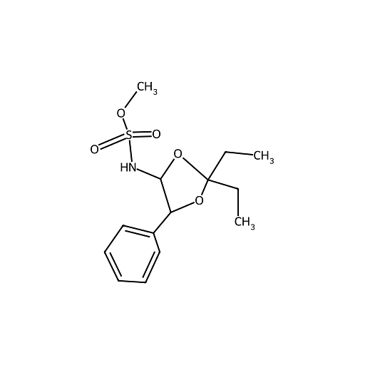 CCC1(CC)OC(NS(=O)(=O)OC)C(c2ccccc2)O1